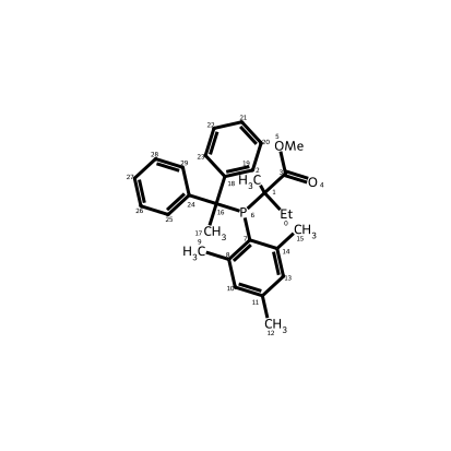 CCC(C)(C(=O)OC)P(c1c(C)cc(C)cc1C)C(C)(c1ccccc1)c1ccccc1